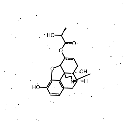 C[C@H](O)C(=O)OC1=CC[C@@]2(O)[C@H]3Cc4ccc(O)c5c4C2(CCN3C)C1O5